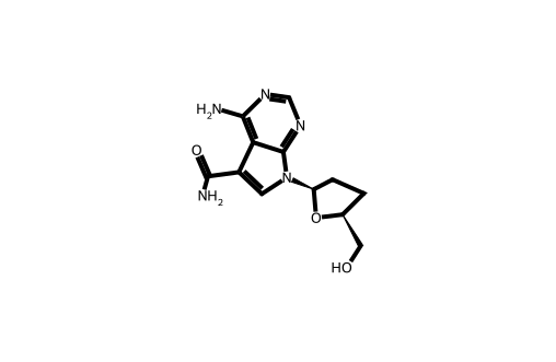 NC(=O)c1cn([C@H]2CC[C@@H](CO)O2)c2ncnc(N)c12